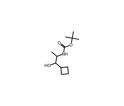 CC(NC(=O)OC(C)(C)C)C(O)C1CCC1